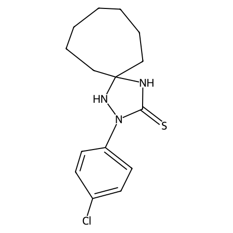 S=C1NC2(CCCCCCC2)NN1c1ccc(Cl)cc1